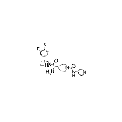 NC(C(=O)NCC1(c2ccc(F)c(F)c2)CCC1)C1CCN(C(=O)Nc2ccncc2)CC1